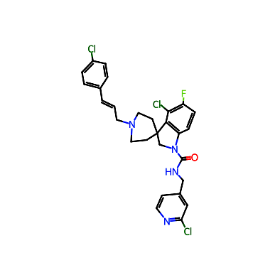 O=C(NCc1ccnc(Cl)c1)N1CC2(CCN(CC=Cc3ccc(Cl)cc3)CC2)c2c1ccc(F)c2Cl